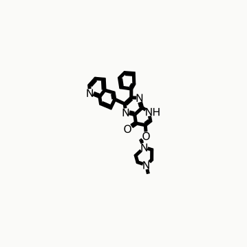 CN1CCN(COc2c[nH]c3nc(-c4ccccc4)c(-c4ccc5ncccc5c4)nc3c2=O)CC1